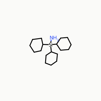 N[Si](C1CCCCC1)(C1CCCCC1)C1CCCCC1